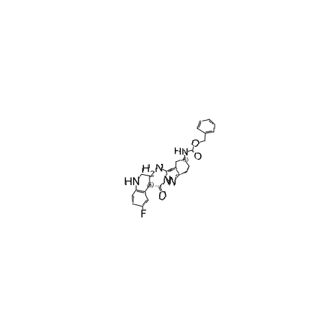 Nc1c2c(nn1C(=O)[C@H]1CCNc3ccc(F)cc31)CC[C@H](NC(=O)OCc1ccccc1)C2